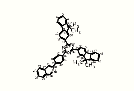 CC1(C)c2ccccc2-c2ccc(-c3nc(-c4ccc(-c5cc6ccccc6cn5)cc4)nc(-c4ccc5c(c4)C(C)(C)c4ccccc4-5)n3)cc21